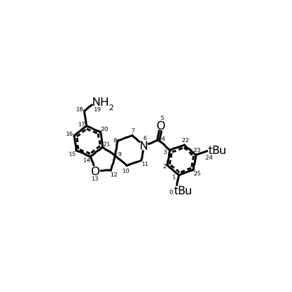 CC(C)(C)c1cc(C(=O)N2CCC3(CC2)COc2ccc(CN)cc23)cc(C(C)(C)C)c1